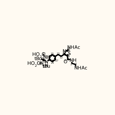 CC(=O)NCCNC(=O)c1sc(NC(C)=O)nc1CCc1ccc(NC(NC(=O)O)(N(C(=O)O)C(C)(C)C)C(C)(C)C)cc1